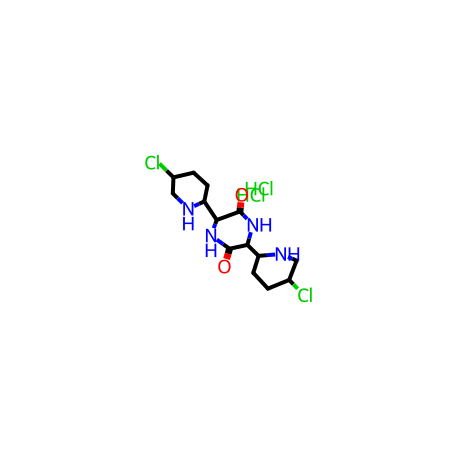 Cl.Cl.O=C1NC(C2CCC(Cl)CN2)C(=O)NC1C1CCC(Cl)CN1